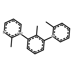 Cc1c(-[n+]2ccccc2C)cccc1-[n+]1cccnc1C